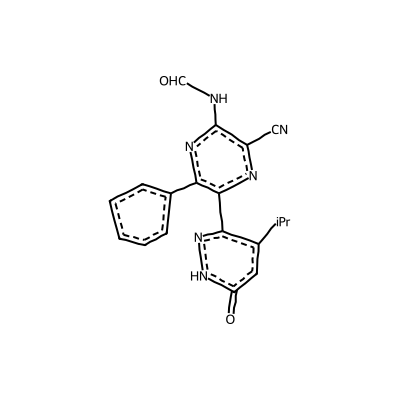 CC(C)c1cc(=O)[nH]nc1-c1nc(C#N)c(NC=O)nc1-c1ccccc1